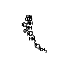 CN1CCN(CCNCc2ccc(C(=O)NC3=CSCC3NC(=O)OC(C)(C)C)nc2)CC1